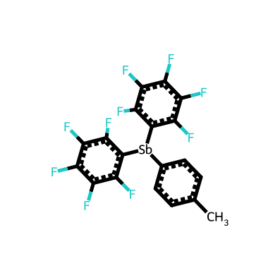 Cc1cc[c]([Sb]([c]2c(F)c(F)c(F)c(F)c2F)[c]2c(F)c(F)c(F)c(F)c2F)cc1